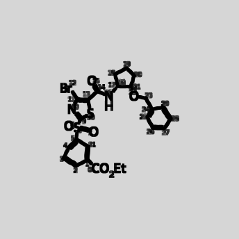 CCOC(=O)c1cccc(S(=O)(=O)c2nc(Br)c(C(=O)N[C@H]3CCC[C@@H]3OCc3ccccc3)s2)c1